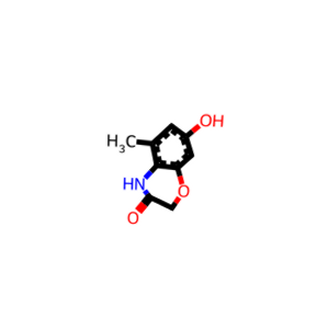 Cc1cc(O)cc2c1NC(=O)CO2